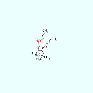 CCCCOC[C@@]1(CO)O[C@H](C)C(CC(C)(C)C)C1OCCCC